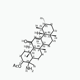 CC(=O)OC1CC[C@@]2(C)C(CC[C@]3(C)[C@@H]2C(=O)C=C2[C@@H]4[C@@H](C)[C@H](C)CC[C@]4(C)CC[C@]23C)C1(C)N